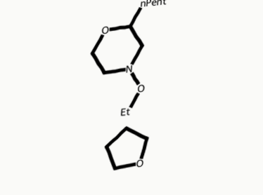 C1CCOC1.CCCCCC1CN(OCC)CCO1